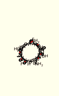 CCCC[C@H]1C(=O)N2CCC[C@@H]2C(=O)N[C@@H](CC(=O)O)C(=O)N[C@@H](C(C)C)C(=O)N(C)[C@@H](Cc2ccc(F)cc2)C(=O)N[C@@H](CCN)C(=O)N2CCC[C@@H]2C(=O)N[C@@H](Cc2c[nH]c3ccccc23)C(=O)N[C@@H](Cc2ccc(O)cc2)C(=O)N[C@@H](CC(C)C)C(=O)N[C@H](C(=O)NCC(N)=O)CSCC(=O)N[C@@H](Cc2ccc(F)cc2)C(=O)N(C)[C@@H](Cc2ccccc2)C(=O)N1C